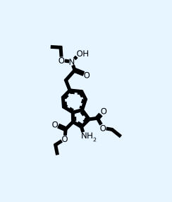 CCOC(=O)c1c2ccc(CC(=O)N(O)OCC)ccc-2c(C(=O)OCC)c1N